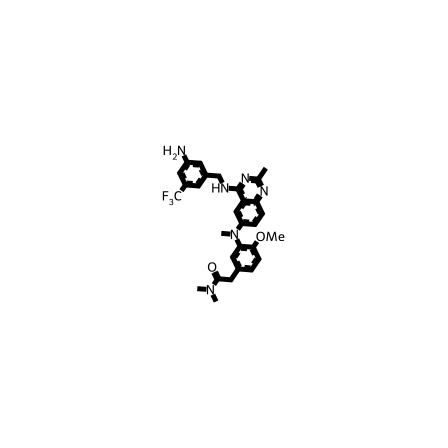 COc1ccc(CC(=O)N(C)C)cc1N(C)c1ccc2nc(C)nc(NCc3cc(N)cc(C(F)(F)F)c3)c2c1